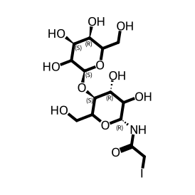 O=C(CI)N[C@@H]1OC(CO)[C@@H](O[C@@H]2OC(CO)[C@H](O)[C@H](O)C2O)[C@H](O)C1O